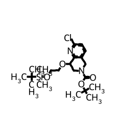 CC(C)(C)OC(=O)N1Cc2ccc(Cl)nc2C(OCCO[Si](C)(C)C(C)(C)C)C1